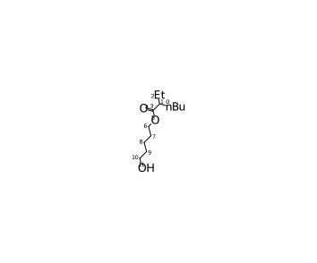 CCCCC(CC)C(=O)OCCCCCO